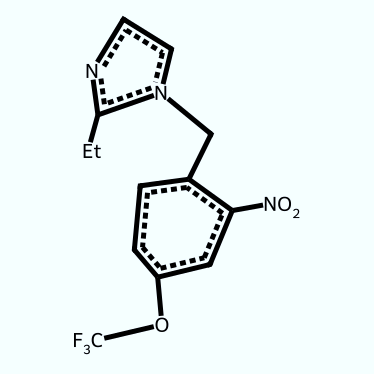 CCc1nccn1Cc1ccc(OC(F)(F)F)cc1[N+](=O)[O-]